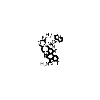 C[C@H]1CN2CCC[C@@]2(COc2nc3c4c(c(Cl)c(-c5ccc(F)c6sc(N)c(C#N)c56)c(F)c4n2)OCCC2COCC(F)(F)CN32)C1